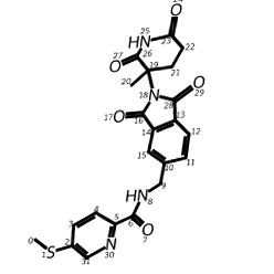 CSc1ccc(C(=O)NCc2ccc3c(c2)C(=O)N(C2(C)CCC(=O)NC2=O)C3=O)nc1